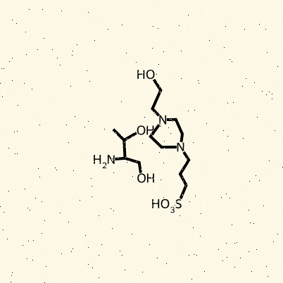 CC(O)C(N)CO.O=S(=O)(O)CCCN1CCN(CCO)CC1